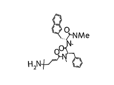 CNC(=O)[C@@H](Cc1ccc2ccccc2c1)N(C)C(=O)[C@@H](Cc1ccccc1)N(C)C(=O)/C=C/CC(C)(C)N